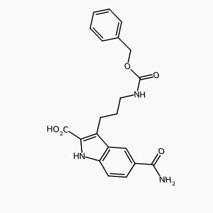 NC(=O)c1ccc2[nH]c(C(=O)O)c(CCCNC(=O)OCc3ccccc3)c2c1